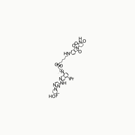 CC(C)c1ccc(N2C[C@H](CS(=O)(=O)CCCCCCNc3ccc4c(c3)C(=O)N(C3CCC(=O)NC3=O)C4=O)[C@H]2C)c2cnc(Nc3ccnc(N4CC[C@@H](O)[C@@](C)(F)C4)n3)cc12